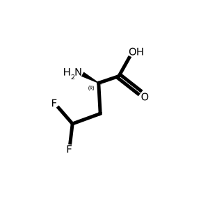 N[C@H](CC(F)F)C(=O)O